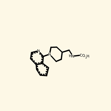 O=C(O)NCC1CCN(c2nccc3ccccc23)CC1